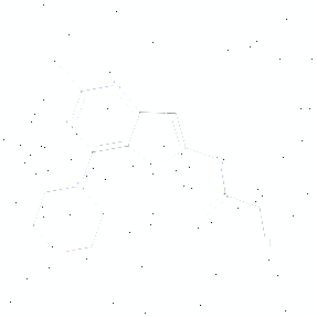 CC(C)(C)CC(=O)Nc1cc2nc(Cl)nc(N3CCOCC3)c2s1